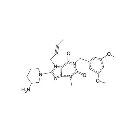 CC#CCn1c(N2CCCC(N)C2)nc2c1c(=O)n(Cc1cc(OC)cc(OC)c1)c(=O)n2C